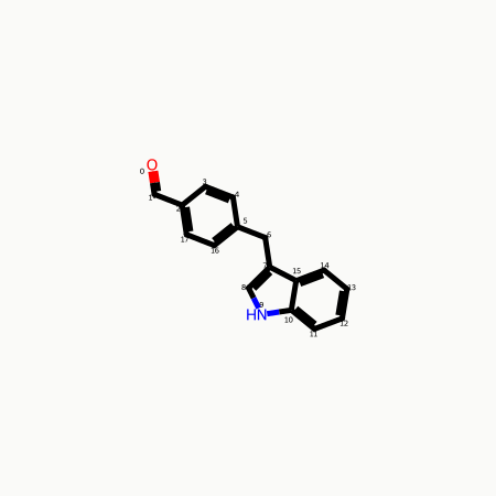 O=[C]c1ccc(Cc2c[nH]c3ccccc23)cc1